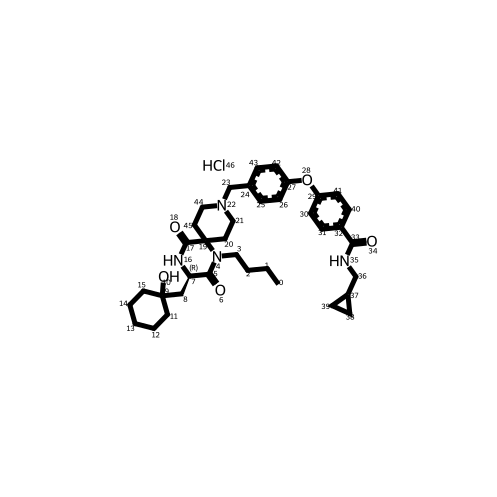 CCCCN1C(=O)[C@@H](CC2(O)CCCCC2)NC(=O)C12CCN(Cc1ccc(Oc3ccc(C(=O)NCC4CC4)cc3)cc1)CC2.Cl